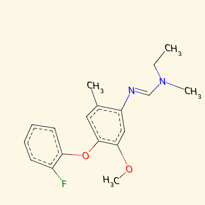 CCN(C)C=Nc1cc(OC)c(Oc2ccccc2F)cc1C